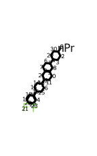 CCCC1CCC(C2CCC3=C(CCC(C4CCC(c5ccc(F)c(F)c5)CC4)C3)C2)CC1